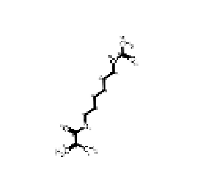 C=C(C)C(=O)OCCCCCCOC(C)=O